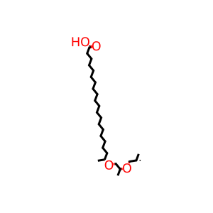 C[CH]COC(C)COC(C)CCCCCCCCCCCCCCCCCCC(=O)O